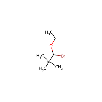 CCOC(Br)[Si](C)(C)C